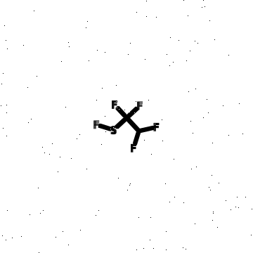 FSC(F)(F)C(F)F